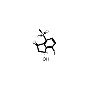 CS(=O)(=O)c1ccc(F)c2c1C(=O)C[C@H]2O